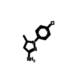 CC1CC(N)=NN1c1ccc(Cl)cc1